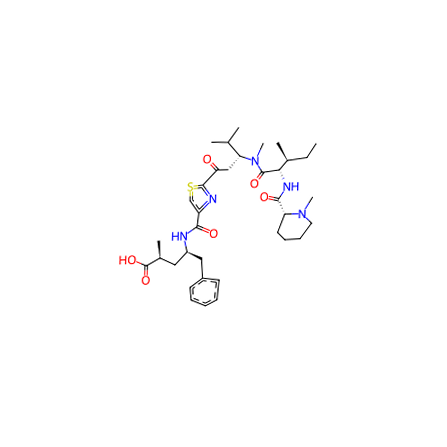 CC[C@H](C)[C@H](NC(=O)[C@H]1CCCCN1C)C(=O)N(C)[C@H](CC(=O)c1nc(C(=O)N[C@@H](Cc2ccccc2)C[C@H](C)C(=O)O)cs1)C(C)C